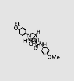 CCOc1ccc(N2C[C@H]3CN(C(=O)Nc4ccc(OC)cc4)C[C@@H]2C(C)(C)C3)cc1